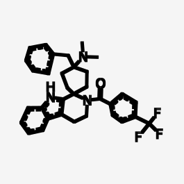 CN(C)C1(Cc2ccccc2)CCC2(CC1)c1[nH]c3ccccc3c1CCN2C(=O)c1ccc(C(F)(F)F)cc1